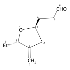 C=C1C[C@H](CCC=O)O[C@H]1CC